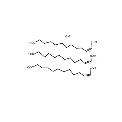 CCCCCCCC/C=C\CCCCCCCCCC(=O)[O-].CCCCCCCC/C=C\CCCCCCCCCC(=O)[O-].CCCCCCCC/C=C\CCCCCCCCCC(=O)[O-].[Ga+3]